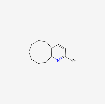 CC(C)C1=NC2CCCCCCCC2C=C1